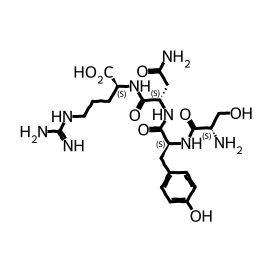 N=C(N)NCCC[C@H](NC(=O)[C@H](CC(N)=O)NC(=O)[C@H](Cc1ccc(O)cc1)NC(=O)[C@@H](N)CO)C(=O)O